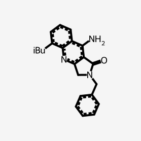 CCC(C)c1cccc2c(N)c3c(nc12)CN(Cc1ccccc1)C3=O